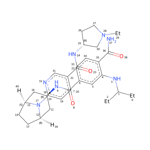 CCC(CC)Nc1cc(C(=O)N[C@H]2C[C@H]3CC[C@@H](C2)N3c2ccc(C(=O)N[C@@H]3CCN(CC)C3)cn2)ccc1C(N)=O